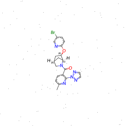 Cc1ccc(C(=O)N2C[C@H]3C[C@@H](Oc4ccc(Br)cn4)[C@@H]2C3)c(-n2nccn2)n1